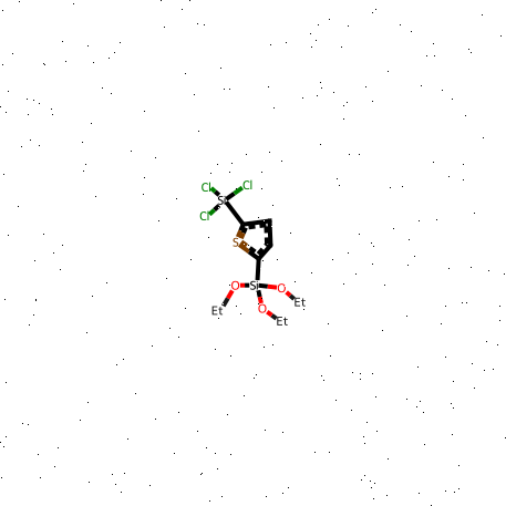 CCO[Si](OCC)(OCC)c1ccc([Si](Cl)(Cl)Cl)s1